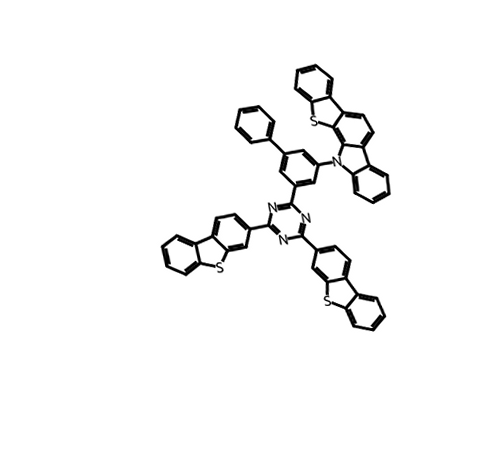 c1ccc(-c2cc(-c3nc(-c4ccc5c(c4)sc4ccccc45)nc(-c4ccc5c(c4)sc4ccccc45)n3)cc(-n3c4ccccc4c4ccc5c6ccccc6sc5c43)c2)cc1